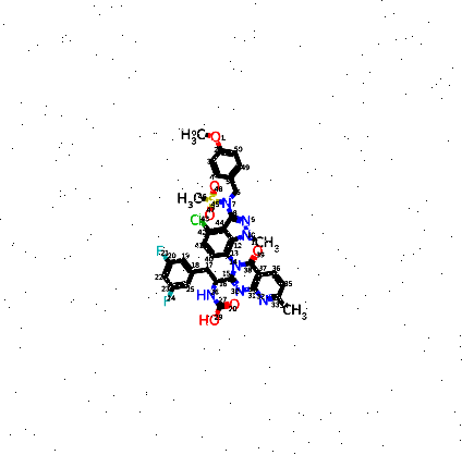 COc1ccc(CN(c2nn(C)c3c(-n4c(C(Cc5cc(F)cc(F)c5)NC(=O)O)nc5nc(C)ccc5c4=O)ccc(Cl)c23)S(C)(=O)=O)cc1